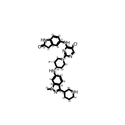 C[C@@H]1CN(c2ncc(Cl)c(Nc3ccc4c(c3)CC(=O)N4)n2)CC[C@H]1Nc1ccc2c(C3CCCNC3)nn(C)c2c1